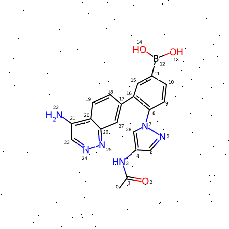 CC(=O)Nc1cnn(-c2ccc(B(O)O)cc2-c2ccc3c(N)cnnc3c2)c1